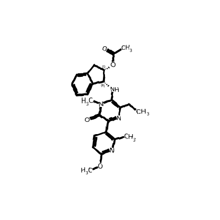 CCc1nc(-c2ccc(OC)nc2C)c(=O)n(C)c1N[C@@H]1c2ccccc2C[C@@H]1OC(C)=O